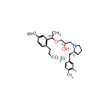 CCOC(=O)CCc1ccc(OC)cc1[C@@H](C)OC[C@H](O)CN1CCC[C@H]1Cc1ccc(C)c(F)c1